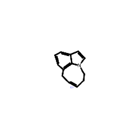 C1=C\Cc2cccc3ccn(c23)CC/1